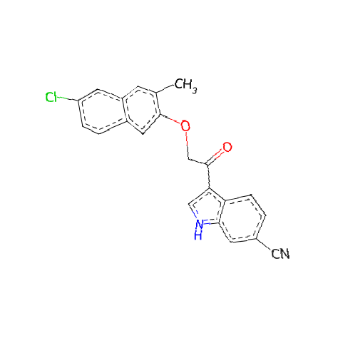 Cc1cc2cc(Cl)ccc2cc1OCC(=O)c1c[nH]c2cc(C#N)ccc12